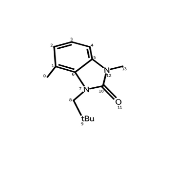 Cc1cccc2c1n(CC(C)(C)C)c(=O)n2C